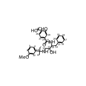 COc1cccc(C(C)(C)NC[C@@H](O)[C@H](Cc2ccccc2)NC(=O)c2ccccc2)c1.O=CO